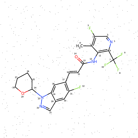 Cc1c(F)cnc(C(F)(F)F)c1NC(=O)/C=C/c1cc2c(cnn2C2CCCCO2)cc1F